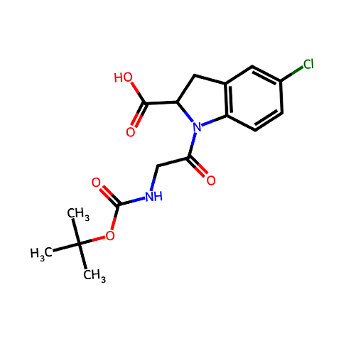 CC(C)(C)OC(=O)NCC(=O)N1c2ccc(Cl)cc2CC1C(=O)O